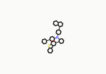 c1ccc(-c2ccc(N(c3ccc(-c4cccc5ccccc45)cc3)c3ccccc3-c3ccc4sc5ccccc5c4c3)cc2)cc1